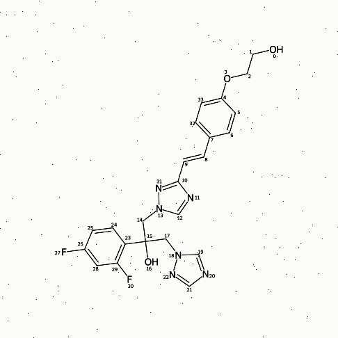 OCCOc1ccc(C=Cc2ncn(CC(O)(Cn3cncn3)c3ccc(F)cc3F)n2)cc1